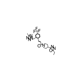 CCc1nnc(C2CCN(C(=O)/C=C/c3ccc(C(F)(F)F)cc3Cn3nnc(C)n3)CC2)o1